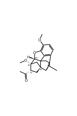 COc1ccc2c3c1O[C@@H]1C34CCN(C)C(C2)[C@@]42C[C@H](C(C)=O)[C@]1(OC)C2